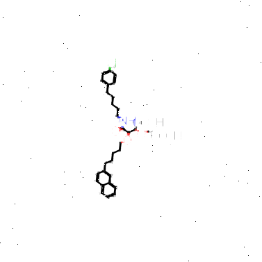 O=C(O)COC(C(=O)O)C(OCCCCCc1ccc2ccccc2c1)C(=O)NCCCCCc1ccc(Cl)cc1